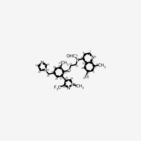 CCc1cc(C)c2nccc(N(C=O)CCOc3c(C)cc(Cn4ccnc4)cc3-c3cn(C)nc3C(F)(F)F)c2c1